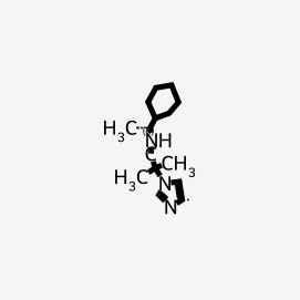 C[C@@H](NCC(C)(C)n1c[c]nc1)C1CCCCC1